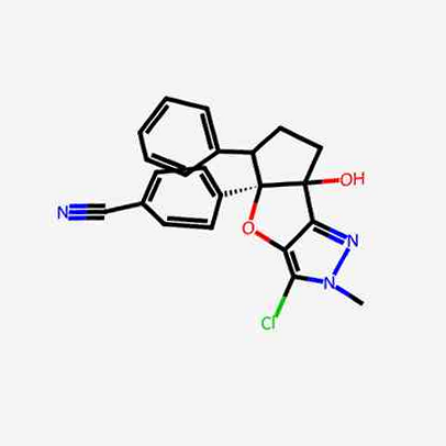 Cn1nc2c(c1Cl)O[C@@]1(c3ccc(C#N)cc3)C(c3ccccc3)CCC21O